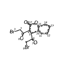 O=C(CBr)c1c(C(=O)CBr)c2ccccc2oc1=O